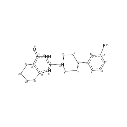 O=c1[nH]c(N2CCN(c3cccc(F)c3)CC2)nc2c1CCCC2